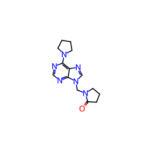 O=C1CCCN1Cn1cnc2c(N3CCCC3)ncnc21